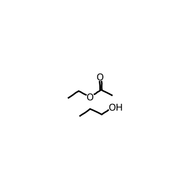 CCCO.CCOC(C)=O